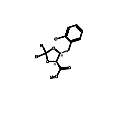 CCC1(CC)O[C@H](C(=O)OC)[C@@H](Cc2ccccc2Cl)O1